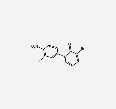 O=c1c(Br)cccn1-c1ccc([N+](=O)[O-])c(F)c1